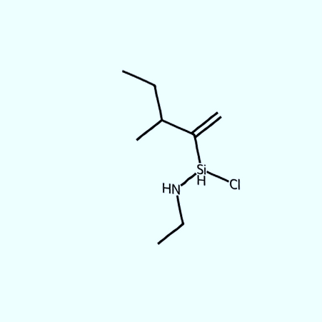 C=C(C(C)CC)[SiH](Cl)NCC